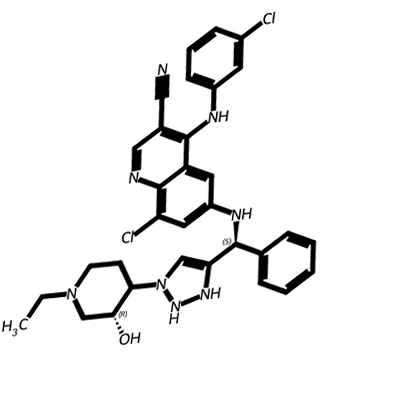 CCN1CCC(N2C=C([C@@H](Nc3cc(Cl)c4ncc(C#N)c(Nc5cccc(Cl)c5)c4c3)c3ccccc3)NN2)[C@H](O)C1